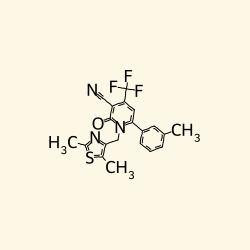 Cc1cccc(-c2cc(C(F)(F)F)c(C#N)c(=O)n2Cc2nc(C)sc2C)c1